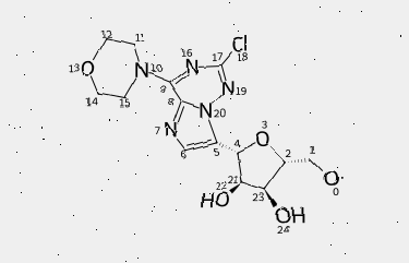 [O]C[C@H]1O[C@@H](c2cnc3c(N4CCOCC4)nc(Cl)nn23)[C@H](O)[C@@H]1O